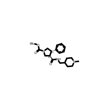 CN1CCC(CNC(=O)[C@H]2CN(C(=O)OC(C)(C)C)C[C@@H]2c2ccccc2)CC1